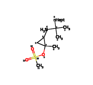 CCCCCCCC(C)(C)[SiH2]C1CC1(C)OS(C)(=O)=O